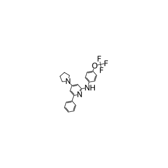 FC(F)(F)Oc1ccc(Nc2cc(N3CCCC3)cc(-c3ccccc3)n2)cc1